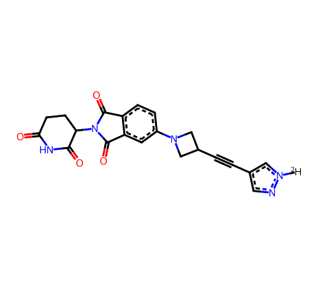 [2H]n1cc(C#CC2CN(c3ccc4c(c3)C(=O)N(C3CCC(=O)NC3=O)C4=O)C2)cn1